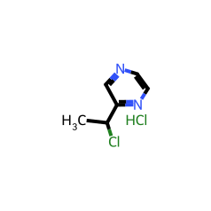 CC(Cl)c1cnccn1.Cl